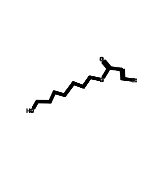 CCC=CC(=O)OCCCCCCCO